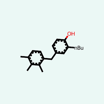 CCCCc1cc(Cc2ccc(C)c(C)c2C)ccc1O